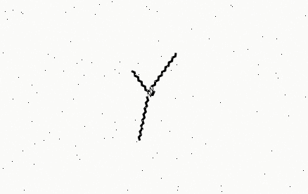 CCCCCCCCCCCCCCCCN1C=CN(CCCCCCCCCCCCCCC)C1CCCCCCCCC